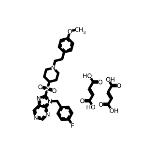 COc1ccc(CCN2CCC(S(=O)(=O)c3nc4cncnc4n3Cc3ccc(F)cc3)CC2)cc1.O=C(O)C=CC(=O)O.O=C(O)C=CC(=O)O